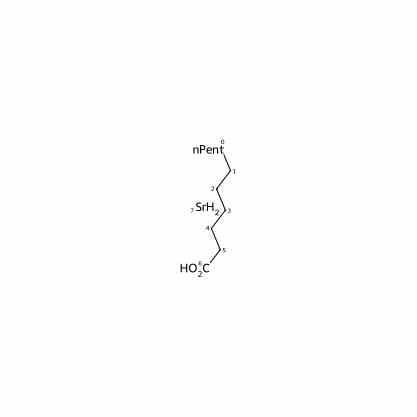 CCCCCCCCCCC(=O)O.[SrH2]